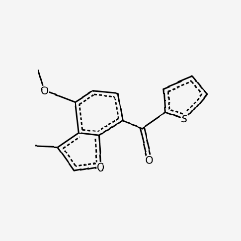 COc1ccc(C(=O)c2cccs2)c2occ(C)c12